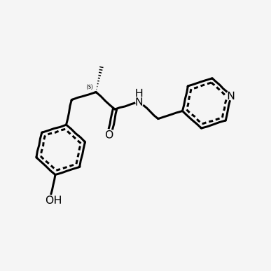 C[C@@H](Cc1ccc(O)cc1)C(=O)NCc1ccncc1